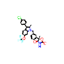 Cc1c(-c2ccc(Cl)cc2)c2ccc(OC(F)(F)F)cc2n1Cc1cccc([C@]2(C)OC(=O)NC2=O)c1